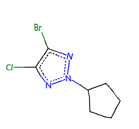 Clc1nn(C2CCCC2)nc1Br